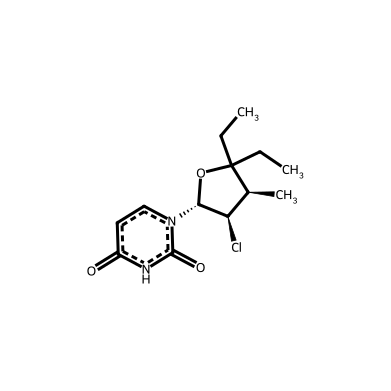 CCC1(CC)O[C@@H](n2ccc(=O)[nH]c2=O)[C@H](Cl)[C@@H]1C